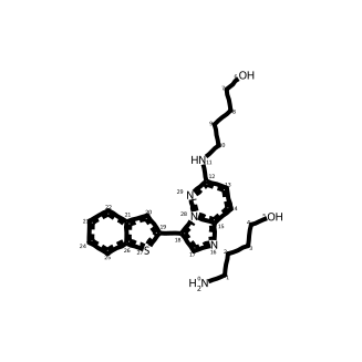 NCCCCO.OCCCCNc1ccc2ncc(-c3cc4ccccc4s3)n2n1